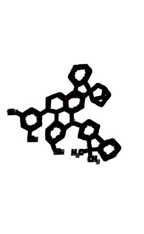 CC(C)(C)C1=CC=C(c2cc(C(C)(C)C)cc(C(C)(C)C)c2)C(c2ccc(C(C)(C)C)cc2N(c2ccc3c(c2)C(C)(C)c2ccccc2-3)c2ccc3c(c2)C2(CC4CCC2C4)c2ccccc2-3)C1